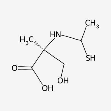 CC(S)N[C@@](C)(CO)C(=O)O